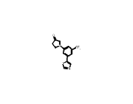 O=C1CCN(c2cc(-c3cnco3)cc(C(F)(F)F)c2)C1